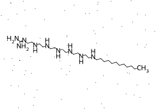 CCCCCCCCCCCCNCCNCCNCCNCCNCCNCCN=C(N)N